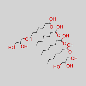 CCCCCCC(=O)O.CCCCCCC(=O)O.CCCCCCC(=O)O.CCCCCCC(=O)O.OCC(O)CO.OCC(O)CO